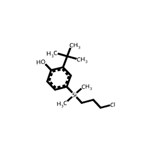 CC(C)(C)c1cc([Si](C)(C)CCCCl)ccc1O